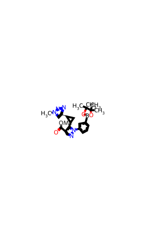 COC(=O)c1cnn(-c2cccc(B3OC(C)(C)C(C)(C)O3)c2)c1C1C[C@H]1c1cn(C)nn1